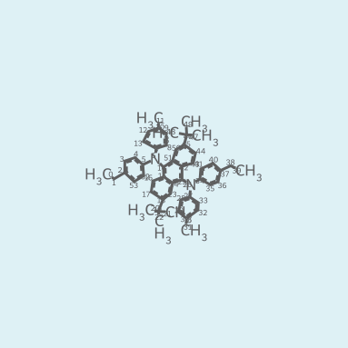 CCc1ccc(N(c2ccc(C)cc2)c2c3ccc(C(C)(C)C)cc3c(N(c3ccc(C)cc3)c3ccc(CC)cc3)c3ccc(C(C)(C)C)cc23)cc1